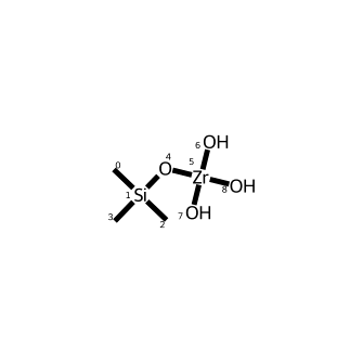 C[Si](C)(C)[O][Zr]([OH])([OH])[OH]